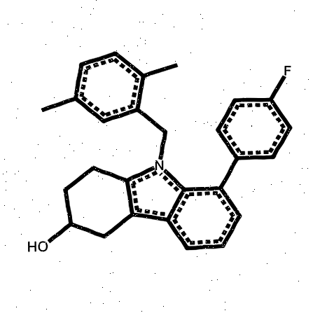 Cc1ccc(C)c(Cn2c3c(c4cccc(-c5ccc(F)cc5)c42)CC(O)CC3)c1